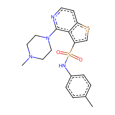 Cc1ccc(NS(=O)(=O)c2csc3ccnc(N4CCN(C)CC4)c23)cc1